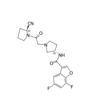 N#C[C@@H]1CCCN1C(=O)CN1CC[C@H](NC(=O)c2coc3c(F)cc(F)cc23)C1